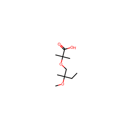 CCC(C)(COC(C)(C)C(=O)O)OC